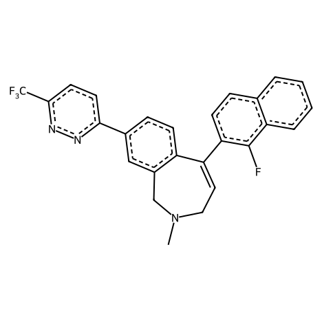 CN1CC=C(c2ccc3ccccc3c2F)c2ccc(-c3ccc(C(F)(F)F)nn3)cc2C1